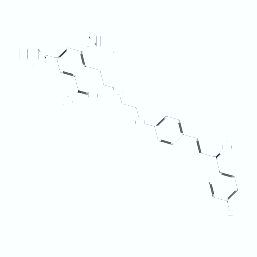 Nc1cc(N)c(CCOCCOc2ccc(C=CC(=O)c3ccc(F)cc3)cc2)c(C(=O)O)c1